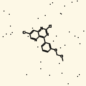 COCOc1cccc(-c2nc(Cl)nc3cc(Cl)cnc23)c1